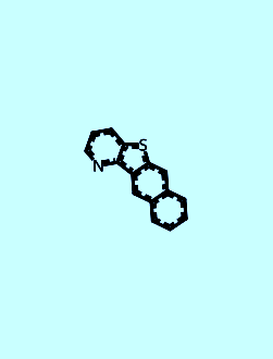 c1ccc2cc3c(cc2c1)sc1cccnc13